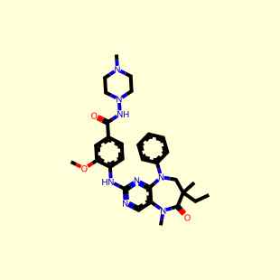 CCC1(C)CN(c2ccccc2)c2nc(Nc3ccc(C(=O)NN4CCN(C)CC4)cc3OC)ncc2N(C)C1=O